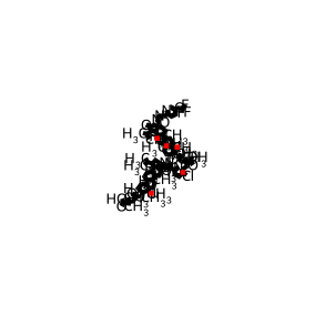 CC(C)C1=C2[C@H]3CC[C@@H]4[C@@]5(C)CC[C@H](OC(=O)CC(C)(C)C(=O)O)C(C)(C)[C@@H]5CC[C@@]4(C)[C@]3(C)CC[C@@]2(c2nnc(-c3ccc(Cl)c(CC(C)(CC(=O)O[C@H]4CC[C@]5(C)[C@H]6CC[C@@H]7C8=C(C(C)C)C(=O)C[C@]8(c8nnc(-c9ccc(OC(F)(F)F)cn9)o8)CC[C@@]7(C)[C@]6(C)CC[C@H]5C4(C)C)C(=O)O)n3)o2)CC1